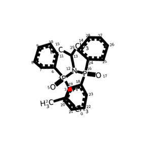 CC(C)NP(=O)(c1ccccc1)N(C(C)C)P(=O)(c1ccccc1)c1ccccc1